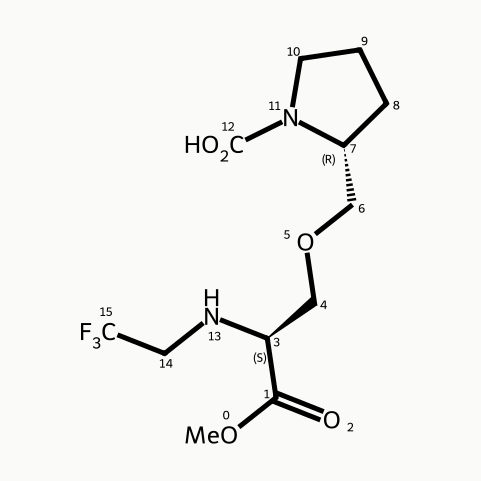 COC(=O)[C@H](COC[C@H]1CCCN1C(=O)O)NCC(F)(F)F